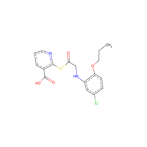 CCCOc1ccc(Cl)cc1NCC(=O)Sc1ncccc1C(=O)O